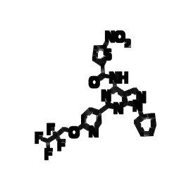 O=C(Nc1nc(-c2ccc(OCC(F)(F)C(F)F)nc2)nc2c1cnn2-c1ccccc1)c1ccc([N+](=O)[O-])s1